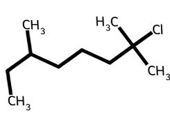 CCC(C)CCCC(C)(C)Cl